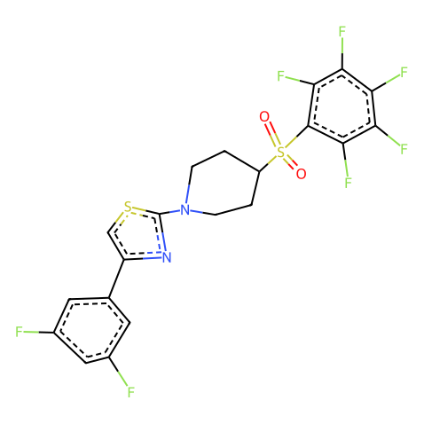 O=S(=O)(c1c(F)c(F)c(F)c(F)c1F)C1CCN(c2nc(-c3cc(F)cc(F)c3)cs2)CC1